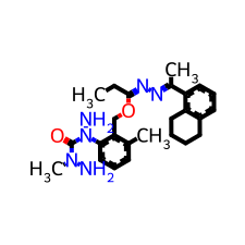 CC/C(=N/N=C(C)c1cccc2c1CCCC2)OCc1c(C)cccc1N(N)C(=O)N(C)N